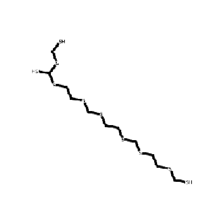 SCSCCSCSCCSCSCCSC(S)SCS